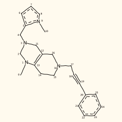 CN1CN(Cc2cccn2C)CC2=C1CCN(CC#Cc1ccccc1)C2